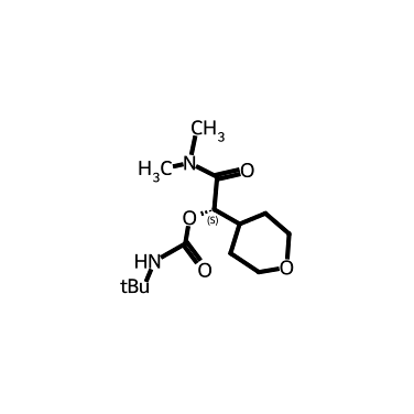 CN(C)C(=O)[C@@H](OC(=O)NC(C)(C)C)C1CCOCC1